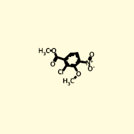 COC(=O)c1ccc([N+](=O)[O-])c(OC)c1Cl